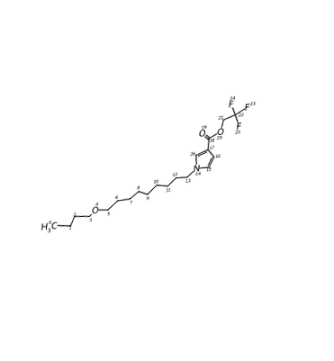 CCCCOCCCCCCCCCn1ccc(C(=O)OCC(F)(F)F)c1